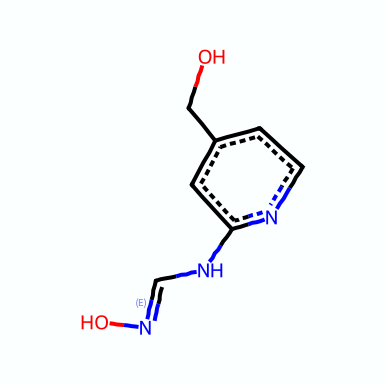 OCc1ccnc(N/C=N/O)c1